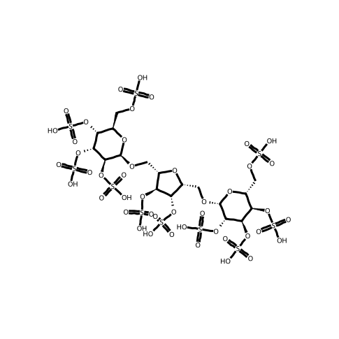 O=S(=O)(O)OC[C@H]1O[C@@H](OC[C@@H]2O[C@H](CO[C@@H]3O[C@H](COS(=O)(=O)O)[C@@H](OS(=O)(=O)O)[C@@H](OS(=O)(=O)O)[C@@H]3OS(=O)(=O)O)[C@H](OS(=O)(=O)O)[C@H]2OS(=O)(=O)O)[C@@H](OS(=O)(=O)O)[C@H](OS(=O)(=O)O)[C@@H]1OS(=O)(=O)O